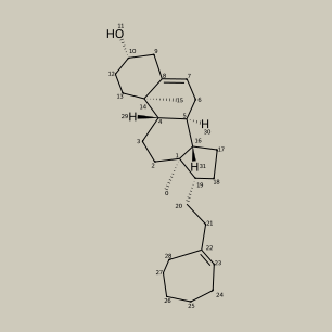 C[C@]12CC[C@H]3[C@@H](CC=C4C[C@@H](O)CC[C@@]43C)[C@@H]1CC[C@@H]2CCC1=CCCCCC1